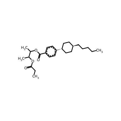 CCCCC[C@H]1CC[C@H](c2ccc(C(=O)OC(C)C(C)OC(=O)CC)cc2)CC1